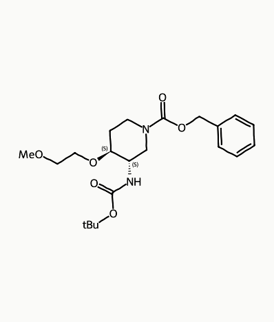 COCCO[C@H]1CCN(C(=O)OCc2ccccc2)C[C@@H]1NC(=O)OC(C)(C)C